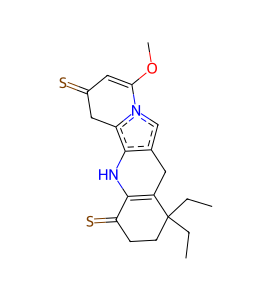 CCC1(CC)CCC(=S)C2=C1Cc1cn3c(c1N2)CC(=S)C=C3OC